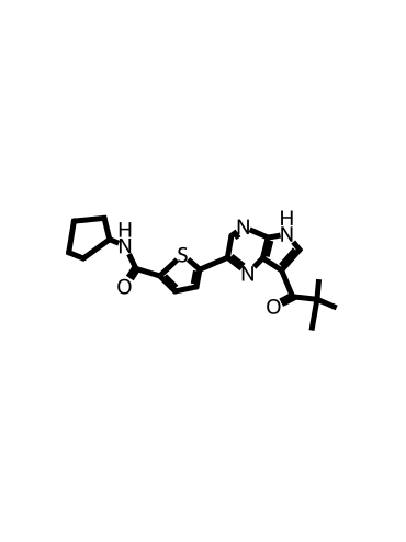 CC(C)(C)C(=O)c1c[nH]c2ncc(-c3ccc(C(=O)NC4CCCC4)s3)nc12